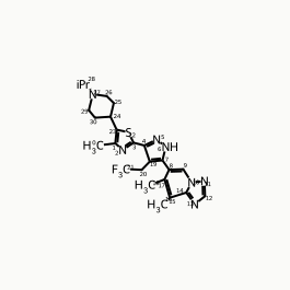 Cc1nc(-c2n[nH]c(-c3cn4ncnc4c(C)c3C)c2CC(F)(F)F)sc1C1CCN(C(C)C)CC1